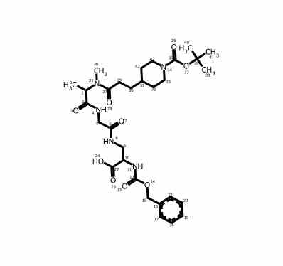 CC(C(=O)NCC(=O)NCC(NC(=O)OCc1ccccc1)C(=O)O)N(C)C(=O)CCC1CCN(C(=O)OC(C)(C)C)CC1